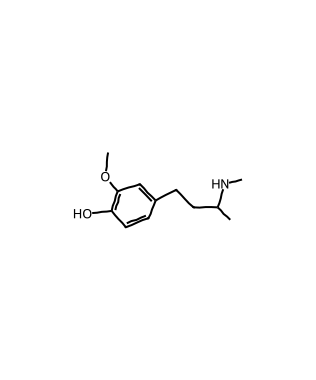 CNC(C)CCc1ccc(O)c(OC)c1